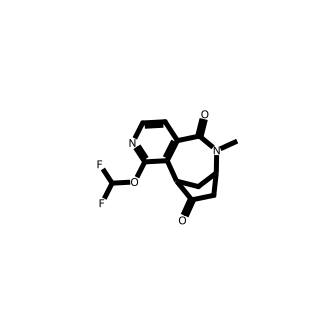 CN1C(=O)c2ccnc(OC(F)F)c2C2CC1CC2=O